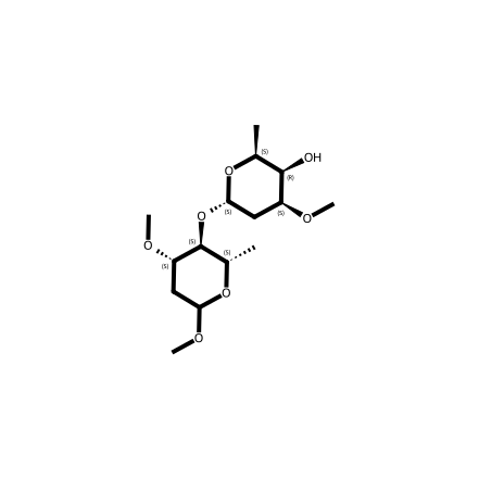 COC1C[C@H](OC)[C@@H](O[C@H]2C[C@H](OC)[C@H](O)[C@H](C)O2)[C@H](C)O1